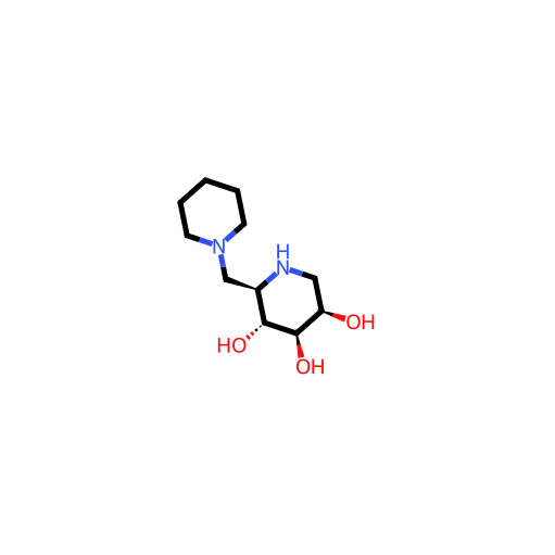 O[C@H]1[C@H](O)[C@@H](CN2CCCCC2)NC[C@H]1O